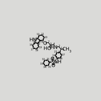 CC(CNC[C@H](O)COc1cccc2[nH]c3ccccc3c12)c1ccc(NS(=O)(=O)c2ccccc2)cc1